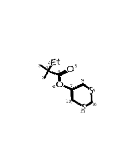 CCC(C)(C)C(=O)OC1CSCSC1